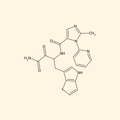 Cc1ncc(C(=O)NC(Cc2c[nH]c3ccsc23)C(=O)C(N)=O)n1-c1ccccn1